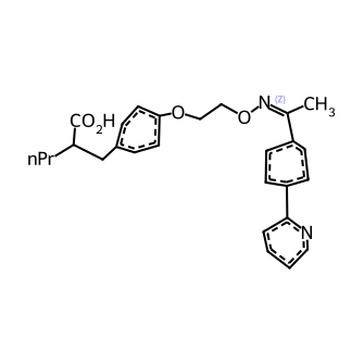 CCCC(Cc1ccc(OCCO/N=C(/C)c2ccc(-c3ccccn3)cc2)cc1)C(=O)O